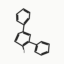 Ic1ccc(-c2ccccc2)cc1-c1ccccc1